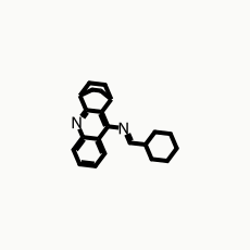 C(=Nc1c2c(nc3ccccc13)C1CCC2CC1)C1CCCCC1